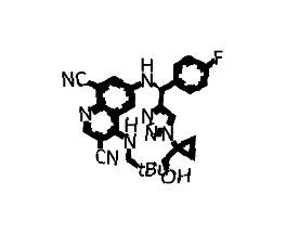 CC(C)(C)CNc1c(C#N)cnc2c(C#N)cc(N[C@@H](c3ccc(F)cc3)c3cn(C4(CO)CC4)nn3)cc12